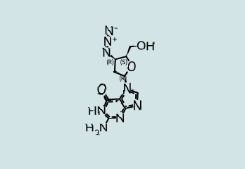 [N-]=[N+]=N[C@@H]1C[C@H](n2cnc3nc(N)[nH]c(=O)c32)O[C@@H]1CO